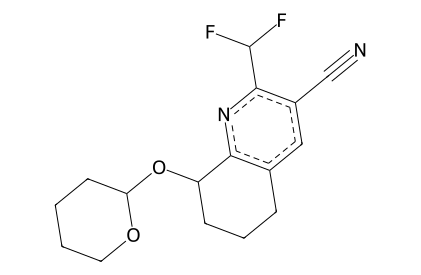 N#Cc1cc2c(nc1C(F)F)C(OC1CCCCO1)CCC2